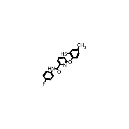 Cc1ccc(Oc2cccc(C(=O)Nc3ccc(F)cc3)n2)c(S)c1